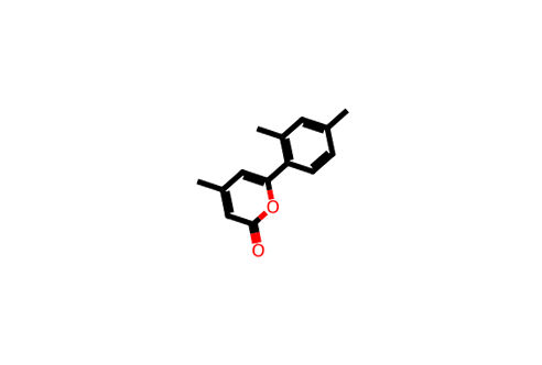 Cc1ccc(-c2cc(C)cc(=O)o2)c(C)c1